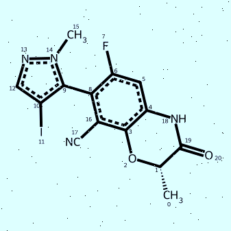 C[C@@H]1Oc2c(cc(F)c(-c3c(I)cnn3C)c2C#N)NC1=O